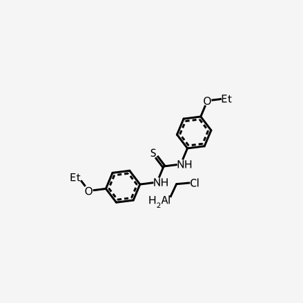 CCOc1ccc(NC(=S)Nc2ccc(OCC)cc2)cc1.[AlH2][CH2]Cl